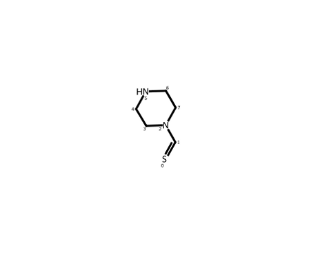 S=CN1CCNCC1